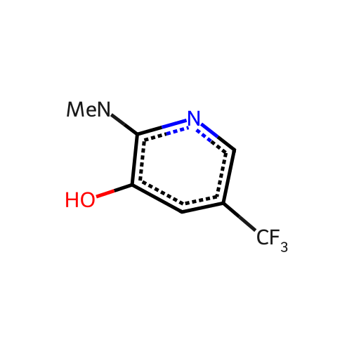 CNc1ncc(C(F)(F)F)cc1O